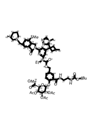 CCN(C(=O)OCc1ccc(O[C@@H]2O[C@H](C(=O)OC)[C@@H](OC(C)=O)[C@H](OC(C)=O)[C@H]2OC(C)=O)c(C(=O)NCCNC(=O)OC(C)(C)C)c1)c1cc(C2(c3nncn3C)CC(C)C2)cc(N2Cc3c(SC)cc(CN4CCC[C@H](C)C4)cc3C2=O)n1